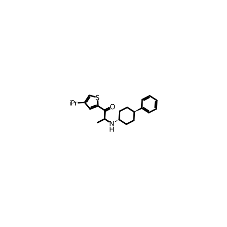 CC(N[C@H]1CC[C@H](c2ccccc2)CC1)C(=O)c1cc(C(C)C)cs1